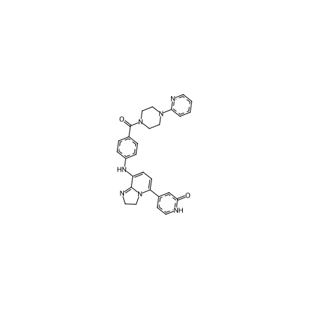 O=C(c1ccc(NC2=CC=C(c3cc[nH]c(=O)c3)N3CCN=C23)cc1)N1CCN(c2ccccn2)CC1